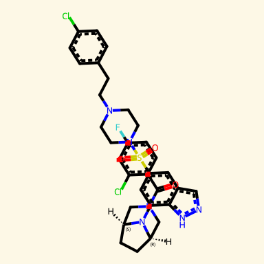 O=C(c1ccc(F)cc1Cl)N1C[C@H]2CC[C@@H](C1)N2c1cc(S(=O)(=O)N2CCN(CCc3ccc(Cl)cc3)CC2)cc2cn[nH]c12